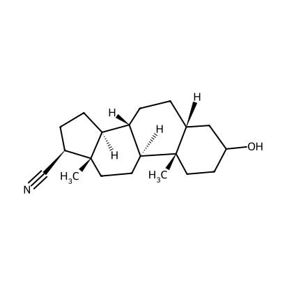 C[C@]12CCC(O)C[C@H]1CC[C@@H]1[C@@H]2CC[C@]2(C)[C@@H](C#N)CC[C@@H]12